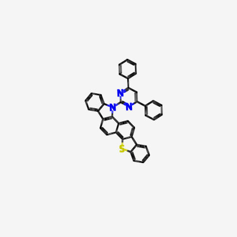 c1ccc(-c2cc(-c3ccccc3)nc(-n3c4ccccc4c4ccc5c(ccc6c7ccccc7sc65)c43)n2)cc1